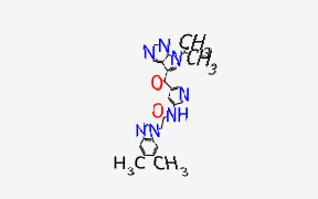 Cc1cc2ncn(CC(=O)Nc3cncc(C(=O)c4cn(C(C)C)c5ncncc45)c3)c2cc1C